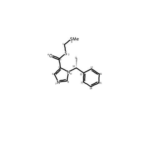 CSCSC(=O)c1cncn1[C@H](C)c1ccccc1